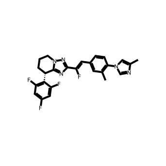 Cc1cn(-c2ccc(/C=C(\F)c3nc4n(n3)CCC[C@H]4c3c(F)cc(F)cc3F)cc2C)cn1